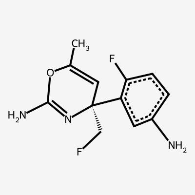 CC1=C[C@@](CF)(c2cc(N)ccc2F)N=C(N)O1